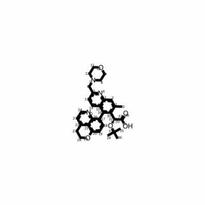 Cc1cc2nc(CN3CCOCC3)ccc2c(-c2ccc3c4c(ccnc24)CCO3)c1[C@H](OC(C)(C)C)C(=O)O